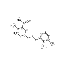 CCC(CCCc1cccc(C)c1C)CC(CN)C(=O)O